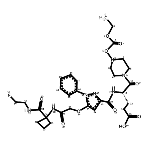 CCOC(=O)ON1CCN(C(=O)[C@H](CCC(=O)O)NC(=O)c2cc(OCC(=O)NC3(C(=O)NCCF)CCC3)n(-c3ccccc3)n2)CC1